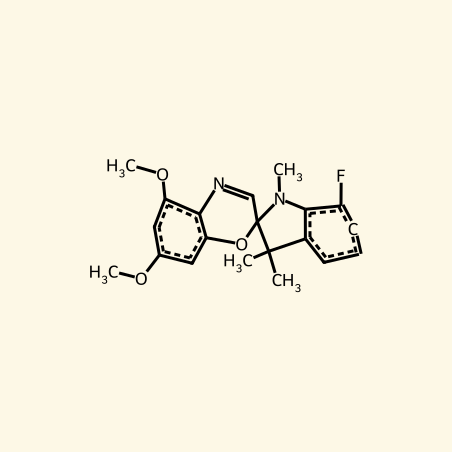 COc1cc(OC)c2c(c1)OC1(C=N2)N(C)c2c(F)cccc2C1(C)C